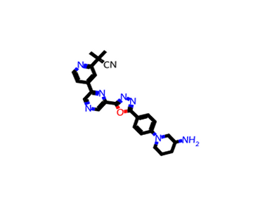 CC(C)(C#N)c1cc(-c2cncc(-c3nnc(-c4ccc(N5CCCC(N)C5)cc4)o3)n2)ccn1